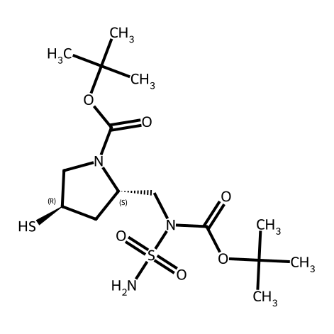 CC(C)(C)OC(=O)N1C[C@H](S)C[C@H]1CN(C(=O)OC(C)(C)C)S(N)(=O)=O